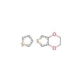 c1ccsc1.c1scc2c1OCCO2